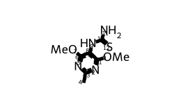 COc1nc(C)nc(OC)c1NC(N)=S